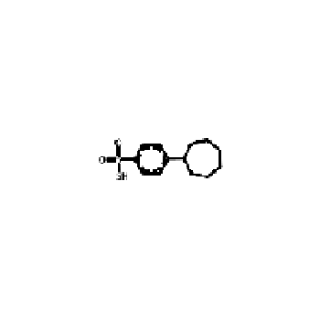 O=S(=O)(S)c1ccc(C2CCCCCC2)cc1